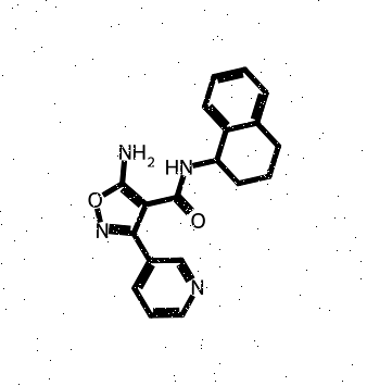 Nc1onc(-c2cccnc2)c1C(=O)NC1CCCc2ccccc21